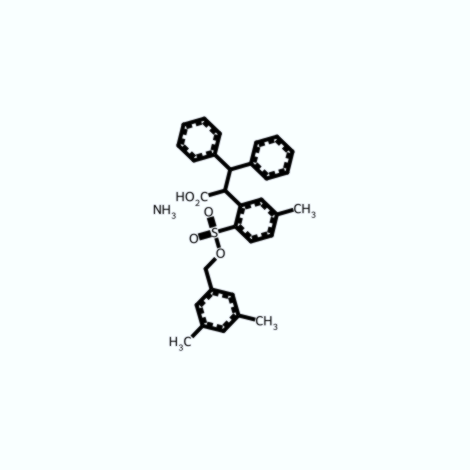 Cc1cc(C)cc(COS(=O)(=O)c2ccc(C)cc2C(C(=O)O)C(c2ccccc2)c2ccccc2)c1.N